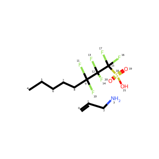 C=CCN.CCCCCC(F)(F)C(F)(F)C(F)(F)S(=O)(=O)O